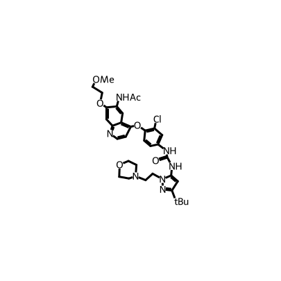 COCCOc1cc2nccc(Oc3ccc(NC(=O)Nc4cc(C(C)(C)C)nn4CCN4CCOCC4)cc3Cl)c2cc1NC(C)=O